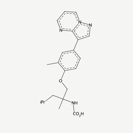 Cc1cc(-c2cnn3cccnc23)ccc1OCC(C)(CC(C)C)NC(=O)O